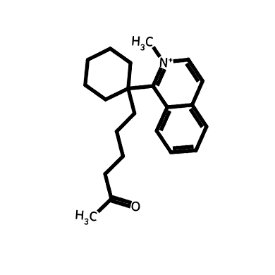 CC(=O)CCCCC1(c2c3ccccc3cc[n+]2C)CCCCC1